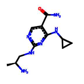 C[C@H](N)CNc1ncc(C(N)=O)c(NC2CC2)n1